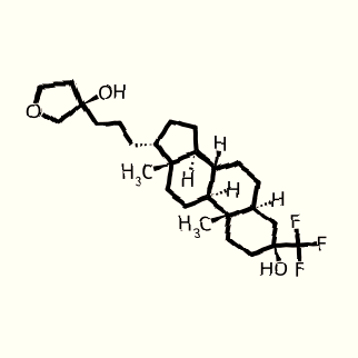 C[C@]12CC[C@@](O)(C(F)(F)F)C[C@@H]1CC[C@@H]1[C@@H]2CC[C@]2(C)[C@H](CCC[C@@]3(O)CCOC3)CC[C@@H]12